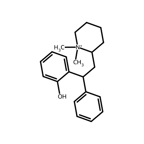 C[N+]1(C)CCCCC1CC(c1ccccc1)c1ccccc1O